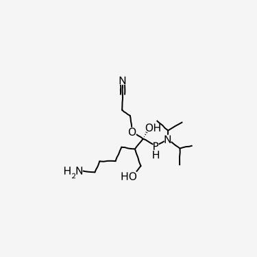 CC(C)N(P[C@](O)(OCCC#N)C(CO)CCCCN)C(C)C